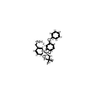 NCC1=C[N+](c2cccc(Oc3ccccc3)c2)(S(=O)(=O)CC(F)(F)F)CC=C1